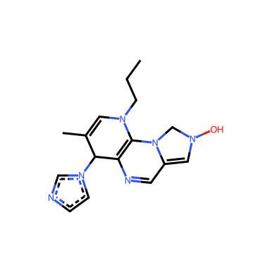 CCCN1C=C(C)C(n2ccnc2)C2=C1N1CN(O)C=C1C=N2